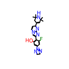 CC1(C)C=C(c2ccn3cc(-c4c(O)cc(-n5nccn5)cc4F)nc3n2)CC(C)(C)N1